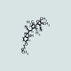 COCCOc1ccc2nc(/C(C#N)=C/c3cc(C)n(-c4oc(C)c(C)c4C#N)c3C)[nH]c2c1